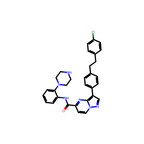 O=C(Nc1ccccc1N1CCNCC1)c1ccn2ncc(-c3ccc(CCc4ccc(Cl)cc4)cc3)c2n1